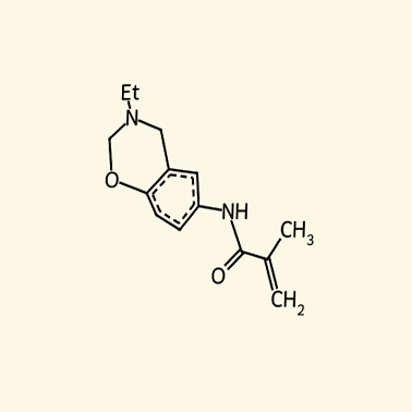 C=C(C)C(=O)Nc1ccc2c(c1)CN(CC)CO2